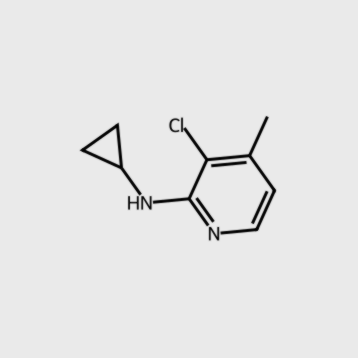 Cc1ccnc(NC2CC2)c1Cl